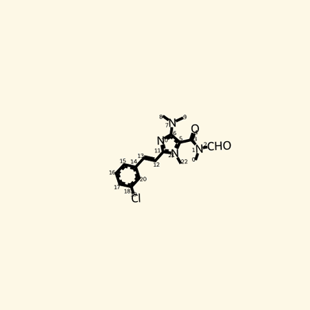 CN(C=O)C(=O)c1c(N(C)C)nc(/C=C/c2cccc(Cl)c2)n1C